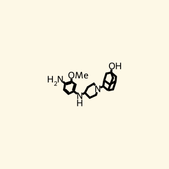 COc1cc(NC2CCN(C3C4CC5CC3CC(O)(C5)C4)CC2)ccc1N